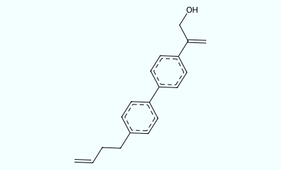 C=CCCc1ccc(-c2ccc(C(=C)CO)cc2)cc1